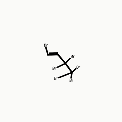 BrC=CC(Br)(Br)C(Br)(Br)Br